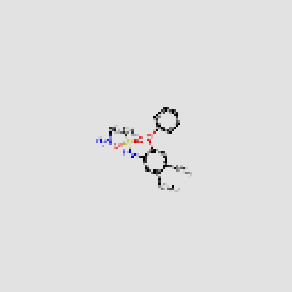 CC(=O)Nc1cc(NS(C)(=O)=O)c(Oc2ccccc2)cc1[N+](=O)[O-].CCCCN